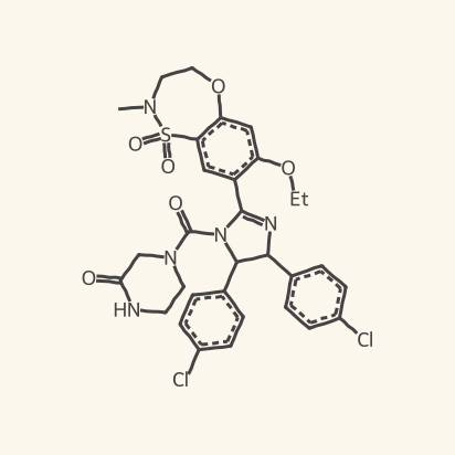 CCOc1cc2c(cc1C1=NC(c3ccc(Cl)cc3)C(c3ccc(Cl)cc3)N1C(=O)N1CCNC(=O)C1)S(=O)(=O)N(C)CCO2